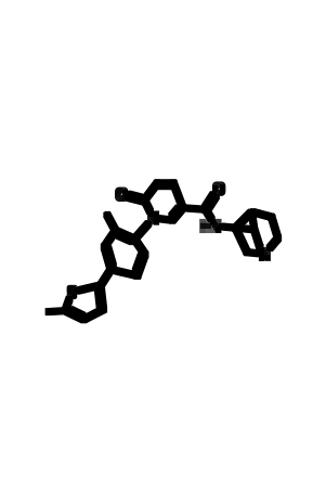 Cc1ccc(-c2ccc(-n3cc(C(=O)NC4CN5CCC4CC5)ccc3=O)c(C)c2)s1